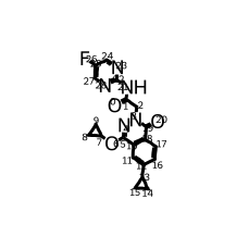 O=C(Cn1nc(OC2CC2)c2cc(C3CC3)ccc2c1=O)Nc1ncc(F)cn1